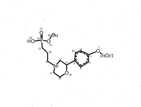 CCCCCCCCOc1ccc(C2CN(CCCP(=O)(O)OC(C)CC)CCO2)cc1